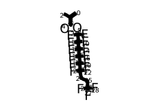 C=C(C)C(=O)OC(F)(F)C(F)(F)C(F)(F)C(F)(F)C(F)(F)C(F)(F)CCC(F)(F)F